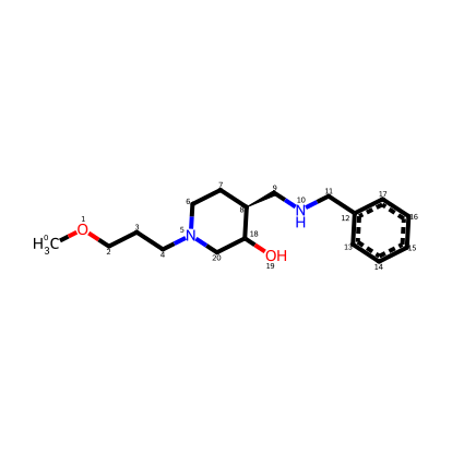 COCCCN1CC[C@@H](CNCc2ccccc2)C(O)C1